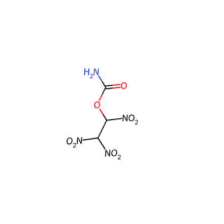 NC(=O)OC(C([N+](=O)[O-])[N+](=O)[O-])[N+](=O)[O-]